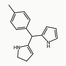 Cc1ccc(C(C2=CCCN2)c2ccc[nH]2)cc1